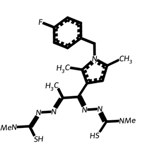 CN/C(S)=N/N=C(C)/C(=N/N=C(\S)NC)c1cc(C)n(Cc2ccc(F)cc2)c1C